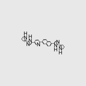 c1cc2cc(-c3cnc([C@@H]4CCCN4)[nH]3)ccc2cc1-c1ccc(-c2cnc([C@@H]3CCCN3)[nH]2)cn1